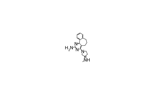 CN[C@@H]1CCN(c2nc(N)nc3c2CCCc2ccccc2-3)C1